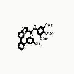 COc1cc(NC(=O)c2cnc3ccc(-c4cccnc4-c4cccc(C)c4)cn23)cc(OC)c1OC